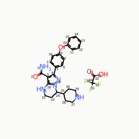 NC(=O)c1c(-c2ccc(Oc3ccccc3)cc2)nn2c1NCCC2C1CCNCC1.O=C(O)C(F)(F)F